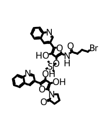 C[Si](C)(C)Oc1c(NC(=O)CCCBr)oc(-c2cnc3ccccc3c2)c1O.O=C1CCCN1c1oc(-c2cnc3ccccc3c2)c(O)c1O